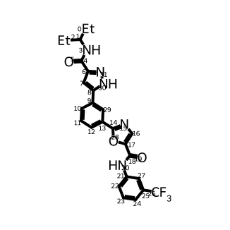 CCC(CC)NC(=O)c1cc(-c2cccc(-c3ncc(C(=O)Nc4cccc(C(F)(F)F)c4)o3)c2)[nH]n1